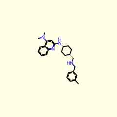 Cc1cccc(CNC[C@H]2CC[C@@H](Nc3cc(N(C)C)c4ccccc4n3)CC2)c1